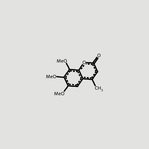 COc1cc2c(C)cc(=O)oc2c(OC)c1OC